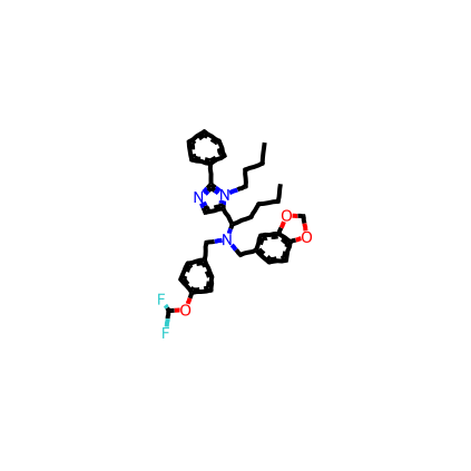 CCCCC(c1cnc(-c2ccccc2)n1CCCC)N(Cc1ccc(OC(F)F)cc1)Cc1ccc2c(c1)OCO2